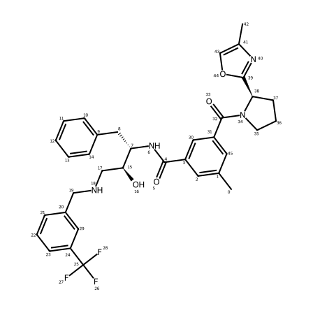 Cc1cc(C(=O)N[C@@H](Cc2ccccc2)[C@@H](O)CNCc2cccc(C(F)(F)F)c2)cc(C(=O)N2CCC[C@@H]2c2nc(C)co2)c1